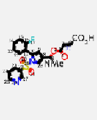 CNC(OC(=O)/C=C/C(=O)O)c1cc(-c2ccccc2F)n(S(=O)(=O)c2cccnc2)c1